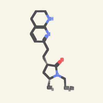 CCOC(=O)CN1C(=O)[C@@H](CCc2ccc3c(n2)NCCC3)C[C@H]1C